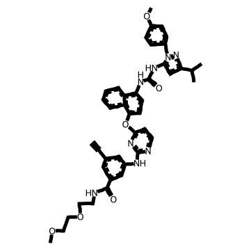 C#Cc1cc(Nc2nccc(Oc3ccc(NC(=O)Nc4cc(C(C)C)nn4-c4ccc(OC)cc4)c4ccccc34)n2)cc(C(=O)NCCOCCOC)c1